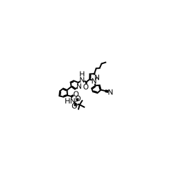 CCCCc1cc(C(=O)Nc2ccc(-c3ccccc3C(=O)NS(=O)(=O)C(C)(C)C)cn2)n(-c2cccc(C#N)c2)n1